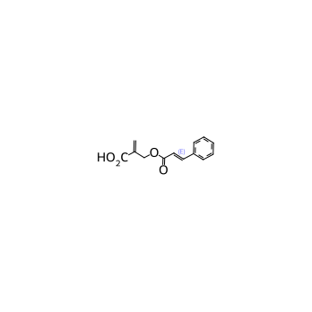 C=C(COC(=O)/C=C/c1ccccc1)C(=O)O